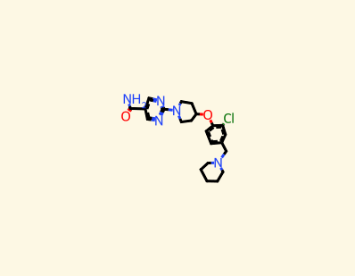 NC(=O)c1cnc(N2CCC(Oc3ccc(CN4CCCCC4)cc3Cl)CC2)nc1